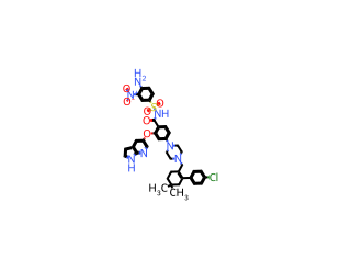 CC1(C)CCC(CN2CCN(c3ccc(C(=O)NS(=O)(=O)c4ccc(N)c([N+](=O)[O-])c4)c(Oc4cnc5[nH]ccc5c4)c3)CC2)=C(c2ccc(Cl)cc2)C1